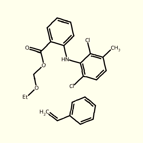 C=Cc1ccccc1.CCOCOC(=O)c1ccccc1Nc1c(Cl)ccc(C)c1Cl